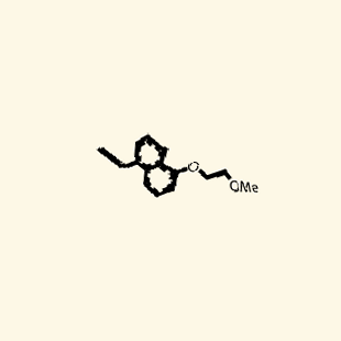 C=Cc1cccc2c(OCCOC)cccc12